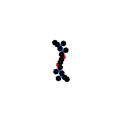 c1ccc(N(c2ccc3c(c2)oc2cc4cc5c(cc4cc23)oc2cc(N(c3ccccc3)c3ccc4c6cc7ccccc7cc6n(-c6ccccc6)c4c3)ccc25)c2ccc3c4cc5ccccc5cc4n(-c4ccccc4)c3c2)cc1